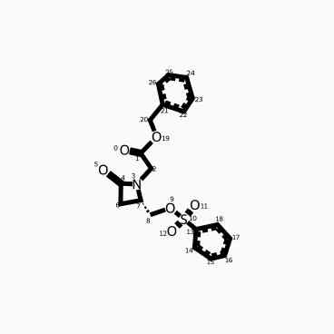 O=C(CN1C(=O)C[C@H]1COS(=O)(=O)c1ccccc1)OCc1ccccc1